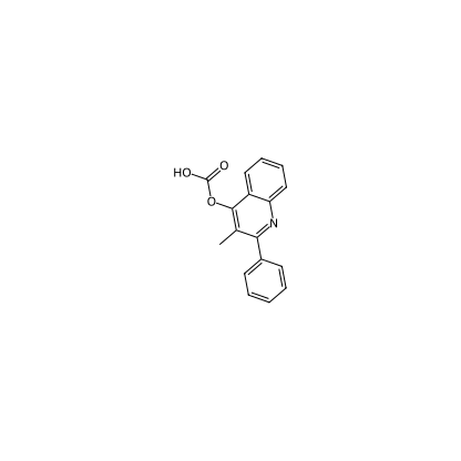 Cc1c(-c2ccccc2)nc2ccccc2c1OC(=O)O